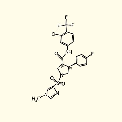 Cn1cnc(S(=O)(=O)N2C[C@H](C(=O)Nc3ccc(C(F)(F)F)c(Cl)c3)[C@@H](c3ccc(F)cc3)C2)c1